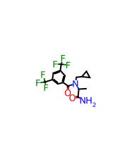 CC(C(N)=O)N(CC1CC1)C(=O)c1cc(C(F)(F)F)cc(C(F)(F)F)c1